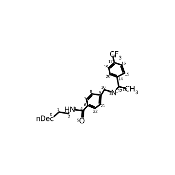 CCCCCCCCCCCCNC(=O)c1ccc(C[N]C(C)c2ccc(C(F)(F)F)cc2)cc1